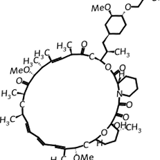 CO[C@H]1C[C@@H]2CC[C@@H](C)[C@@](O)(O2)C(=O)C(=O)N2CCCC[C@H]2C(=O)O[C@H]([C@H](C)C[C@@H]2CC[C@@H](OCCO)[C@H](OC)C2)CC(=O)[C@H](C)/C=C(\C)[C@@H](C)[C@@H](OC)C(=O)[C@H](C)C[C@H](C)/C=C/C=C/C=C/1C